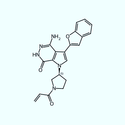 C=CC(=O)N1CC[C@H](n2cc(-c3cc4ccccc4o3)c3c(N)n[nH]c(=O)c32)C1